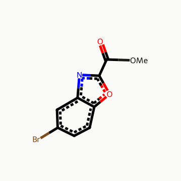 COC(=O)c1nc2cc(Br)ccc2o1